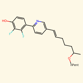 CCCCCOC(C)CCCC=Cc1ccc(-c2ccc(O)c(F)c2F)nc1